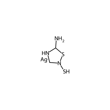 NC1NCN(S)S1.[Ag]